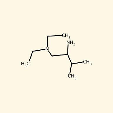 CCN(CC)CC(N)C(C)C